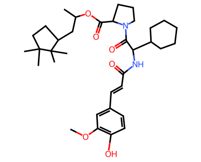 COc1cc(/C=C/C(=O)NC(C(=O)N2CCCC2C(=O)OC(C)CC2CCC(C)(C)C2(C)C)C2CCCCC2)ccc1O